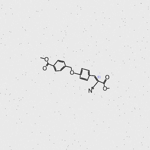 COC(=O)/C(C#N)=C/c1ccc(OCc2ccc(C(=O)OC)cc2)cc1